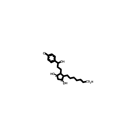 O=C(O)CCCCCCC1C(CCC(O)c2ccc(Cl)cc2)[C@H](O)C[C@@H]1O